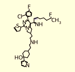 CC(F)CCC/C=C\C(=N)C1=C2CC(CCNCCC3CCC(O)(c4cccnc4)CC3)CN2C(C2CC=CS2)=N[C@H]1c1ccc(F)cc1Cl